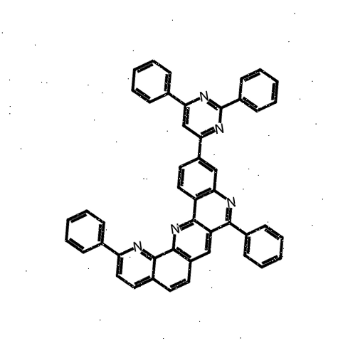 c1ccc(-c2cc(-c3ccc4c(c3)nc(-c3ccccc3)c3cc5ccc6ccc(-c7ccccc7)nc6c5nc34)nc(-c3ccccc3)n2)cc1